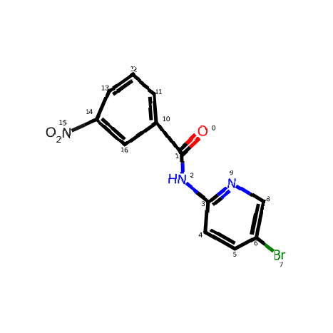 O=C(Nc1ccc(Br)cn1)c1cccc([N+](=O)[O-])c1